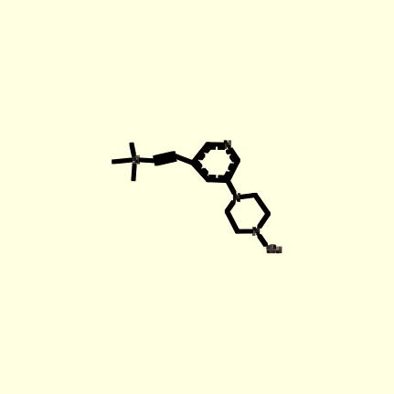 CC(C)(C)N1CCN(c2cncc(C#C[Si](C)(C)C)c2)CC1